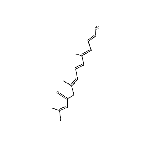 CC(=O)/C=C/C=C(C)/C=C/C=C(\C)CC(=O)C=C(C)C